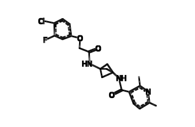 Cc1ccc(C(=O)NC23CC(NC(=O)COc4ccc(Cl)c(F)c4)(C2)C3)c(C)n1